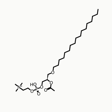 CCCCCCCCCCCCCCCCCOC[C@H](COP(=O)(O)OCC[N+](C)(C)C)OC(C)=O